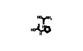 NC(O)=S.OC(=S)Nc1ccc[nH]1